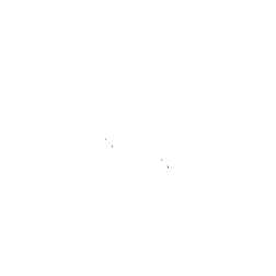 C[N+](C)([O-])c1ccccc1[N+](C)(C)[O-]